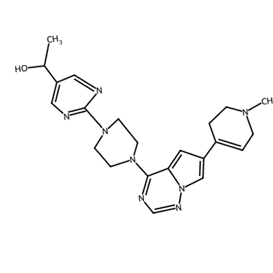 CC(O)c1cnc(N2CCN(c3ncnn4cc(C5=CCN(C)CC5)cc34)CC2)nc1